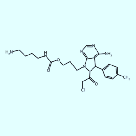 Cc1ccc(C2c3c(N)ncnc3N(CCCOC(=O)NCCCCN)C2C(=O)CCl)cc1